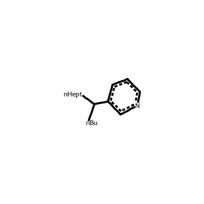 CCCCCCCC(CCCC)c1cccnc1